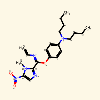 C=CN=C(Oc1ccc(N(CCCC)CCCC)cc1)c1ncc([N+](=O)[O-])n1C